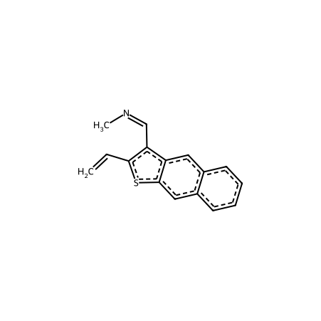 C=Cc1sc2cc3ccccc3cc2c1/C=N\C